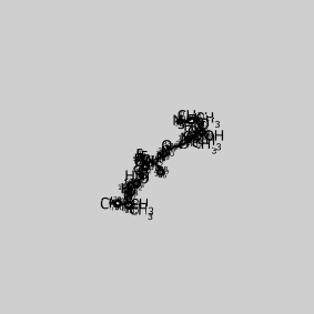 Cc1ncsc1-c1ccc([C@H](C)C(=O)N[C@@H]2C[C@@H](O)CN2C(=O)[C@@H](c2cc(OCCCCC(=O)N3CCN(CC[C@H](CSc4ccccc4)Nc4ccc(S(=O)(=O)NC(=O)c5ccc6c(c5)OC[C@@H]5CN(CC7=C(c8ccc(Cl)cc8)CCC(C)(C)C7)CCN65)cc4S(=O)(=O)C(F)(F)F)CC3)no2)C(C)C)cc1